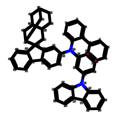 c1ccc(-c2ccccc2N(c2cccc(-n3c4ccccc4c4ccccc43)c2)c2ccc3c(c2)C2(CC4CCC5CC4CC2C5)c2ccccc2-3)cc1